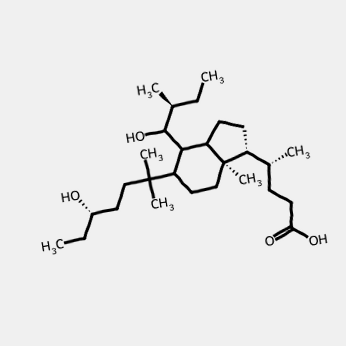 CC[C@H](O)CCC(C)(C)C1CC[C@@]2(C)C(CC[C@@H]2[C@H](C)CCC(=O)O)C1C(O)[C@@H](C)CC